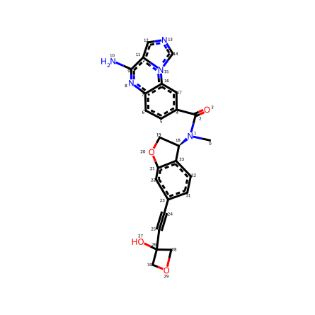 CN(C(=O)c1ccc2nc(N)c3cncn3c2c1)[C@@H]1COc2cc(C#CC3(O)COC3)ccc21